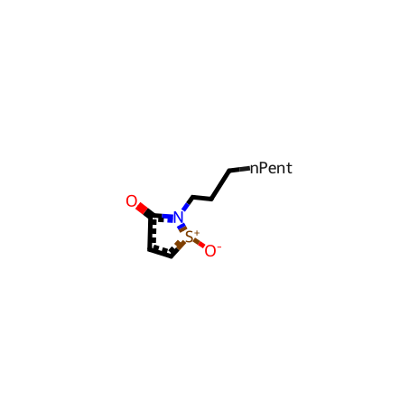 CCCCCCCCn1c(=O)cc[s+]1[O-]